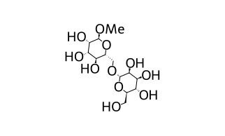 CO[C@H]1O[C@H](CO[C@H]2O[C@H](CO)[C@@H](O)[C@H](O)[C@@H]2O)[C@@H](O)[C@H](O)[C@@H]1O